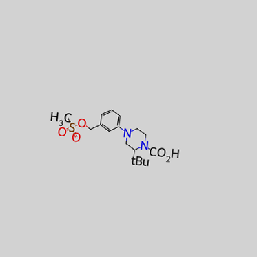 CC(C)(C)C1CN(c2cccc(COS(C)(=O)=O)c2)CCN1C(=O)O